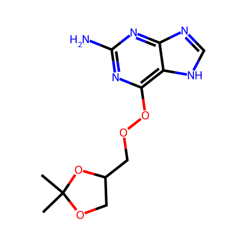 CC1(C)OCC(COOc2nc(N)nc3nc[nH]c23)O1